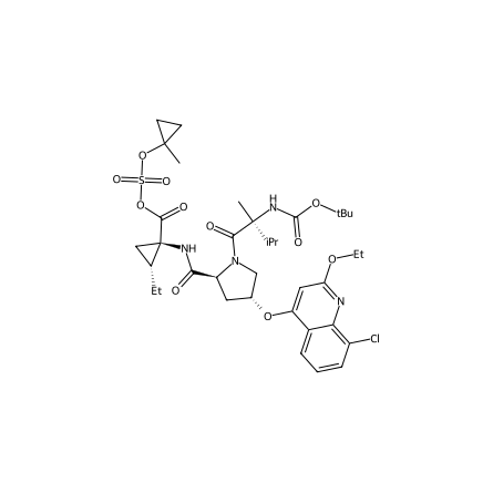 CCOc1cc(O[C@@H]2C[C@@H](C(=O)N[C@]3(C(=O)OS(=O)(=O)OC4(C)CC4)C[C@H]3CC)N(C(=O)[C@@](C)(NC(=O)OC(C)(C)C)C(C)C)C2)c2cccc(Cl)c2n1